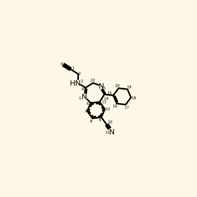 C#CCNC1=Nc2ccc(C#N)cc2C(C2=CCCCC2)=NC1